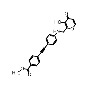 COC(=O)c1ccc(C#Cc2ccc(NCc3occc(=O)c3O)cc2)cc1